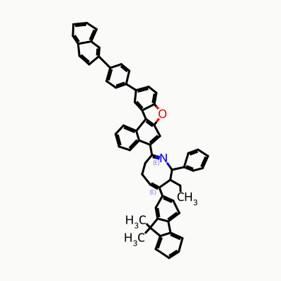 CCC1/C(c2ccc3c(c2)C(C)(C)c2ccccc2-3)=C\CC/C(c2cc3oc4ccc(-c5ccc(-c6ccc7ccccc7c6)cc5)cc4c3c3ccccc23)=N\C1c1ccccc1